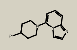 CC(C)C1CCN(c2cccc3nccn23)CC1